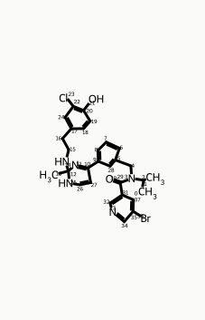 CC(C)N(Cc1cccc(C2=NC(C)(NCCc3ccc(O)c(Cl)c3)NC=C2)c1)C(=O)c1cncc(Br)c1